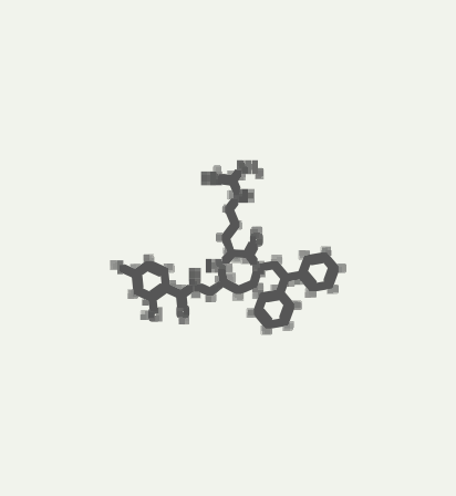 N=C(N)NCCC[C@@H]1N[C@H](CNC(=O)c2ccc(I)cc2Cl)CCN(CC(c2ccccc2)c2ccccc2)C1=O